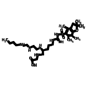 CCCCNCCNCCNC(CCCNC(=N)NS(=O)(=O)c1c(C)c(C)c2c(c1C)CC(C)(C)O2)CNCC(=O)O